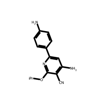 CC(C)Oc1nc(-c2ccc(N)cc2)cc(N)c1C#N